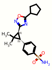 CC1(C)[C@@H](c2ccc(S(N)(=O)=O)cc2)[C@@H]1c1noc(C2CCCC2)n1